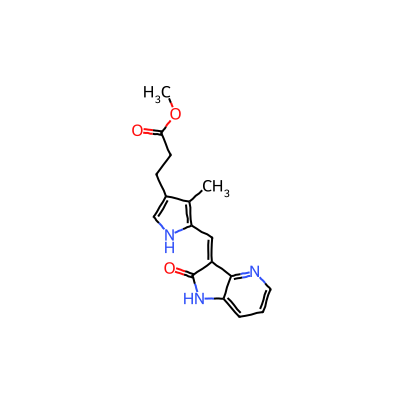 COC(=O)CCc1c[nH]c(C=C2C(=O)Nc3cccnc32)c1C